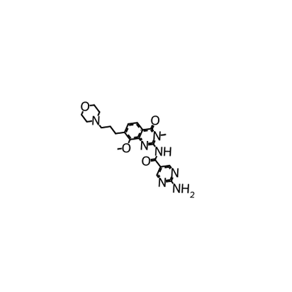 COc1c(CCCN2CCOCC2)ccc2c(=O)n(C)c(NC(=O)c3cnc(N)nc3)nc12